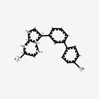 N#Cc1ccc(-c2cccc(-c3cnc4nc(C(F)(F)F)cnn34)c2)cc1